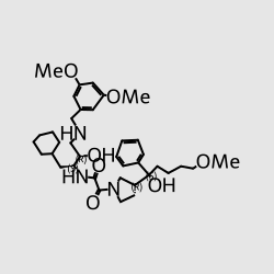 COCCCC[C@@](O)(c1ccccc1)[C@@H]1CCN(C(=O)C(=O)N[C@@H](CC2CCCCC2)[C@H](O)CNCc2cc(OC)cc(OC)c2)C1